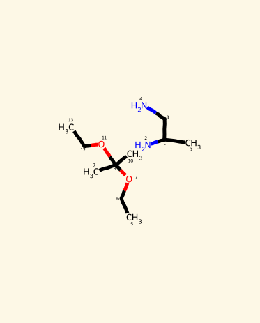 CC(N)CN.CCOC(C)(C)OCC